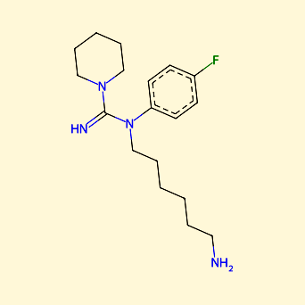 N=C(N1CCCCC1)N(CCCCCCN)c1ccc(F)cc1